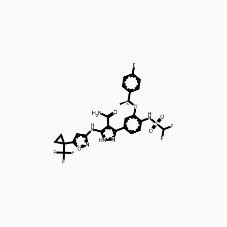 C[C@H](Oc1cc(-c2n[nH]c(Nc3cc(C4(C(F)(F)F)CC4)on3)c2C(N)=O)ccc1NS(=O)(=O)C(F)F)c1ccc(F)cc1